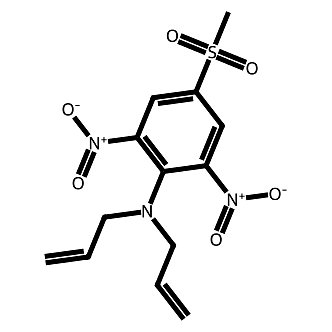 C=CCN(CC=C)c1c([N+](=O)[O-])cc(S(C)(=O)=O)cc1[N+](=O)[O-]